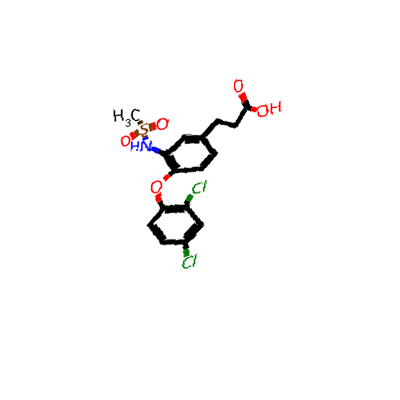 CS(=O)(=O)Nc1cc(CCC(=O)O)ccc1Oc1ccc(Cl)cc1Cl